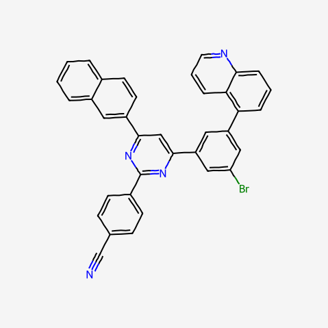 N#Cc1ccc(-c2nc(-c3cc(Br)cc(-c4cccc5ncccc45)c3)cc(-c3ccc4ccccc4c3)n2)cc1